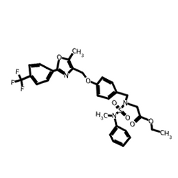 CCOC(=O)CN(Cc1ccc(OCc2nc(-c3ccc(C(F)(F)F)cc3)oc2C)cc1)S(=O)(=O)N(C)c1ccccc1